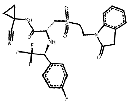 N#CC1(NC(=O)[C@H](CS(=O)(=O)CCN2C(=O)Cc3ccccc32)N[C@@H](c2ccc(F)cc2)C(F)(F)F)CC1